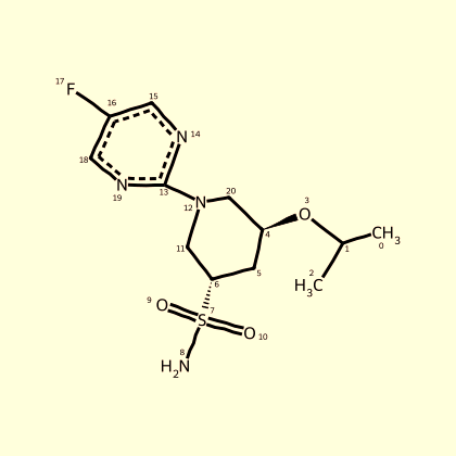 CC(C)O[C@H]1C[C@H](S(N)(=O)=O)CN(c2ncc(F)cn2)C1